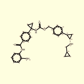 Nc1ccccc1NC(=O)c1ccc(C2(NC(=O)OCc3ccc(C4C[C@@H]4NCC4CC4)cc3)CC2)cc1